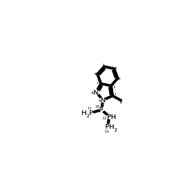 Cc1c2ccccc2nn1P(P)PP